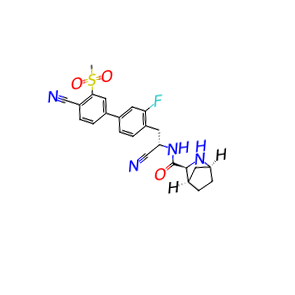 CS(=O)(=O)c1cc(-c2ccc(C[C@@H](C#N)NC(=O)[C@H]3N[C@H]4CC[C@@H]3C4)c(F)c2)ccc1C#N